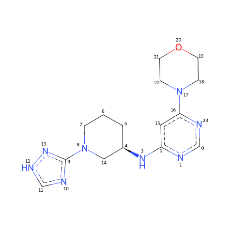 c1nc(N[C@@H]2CCCN(c3nc[nH]n3)C2)cc(N2CCOCC2)n1